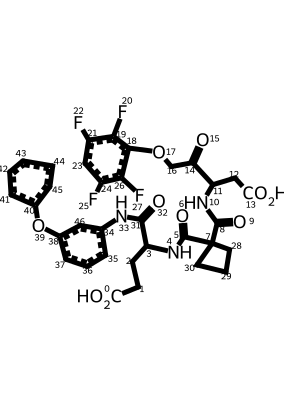 O=C(O)CCC(NC(=O)C1(C(=O)NC(CC(=O)O)C(=O)COc2c(F)c(F)cc(F)c2F)CCC1)C(=O)Nc1cccc(Oc2ccccc2)c1